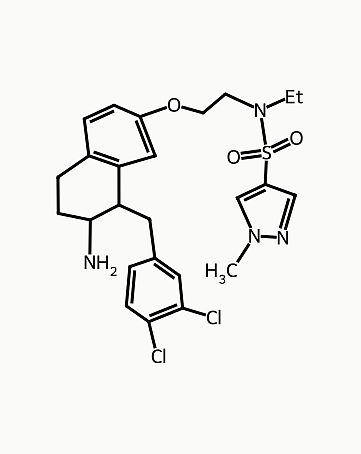 CCN(CCOc1ccc2c(c1)C(Cc1ccc(Cl)c(Cl)c1)C(N)CC2)S(=O)(=O)c1cnn(C)c1